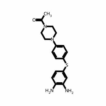 CC(=O)N1CCN(c2ccc(Sc3ccc(N)c(N)c3)cc2)CC1